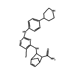 NC(=O)C1C2C=CC(C2)C1Nc1nc(Nc2ccc(C3CCNCC3)cc2)ncc1F